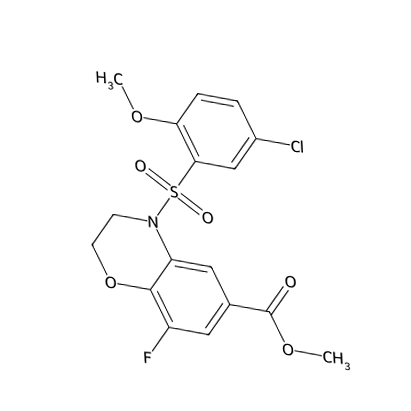 COC(=O)c1cc(F)c2c(c1)N(S(=O)(=O)c1cc(Cl)ccc1OC)CCO2